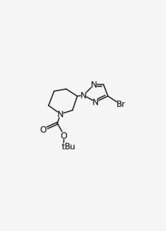 CC(C)(C)OC(=O)N1CCCC(n2ncc(Br)n2)C1